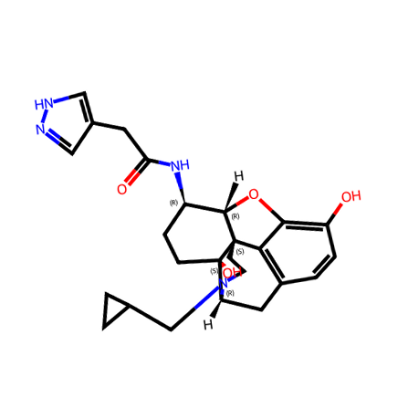 O=C(Cc1cn[nH]c1)N[C@@H]1CC[C@@]2(O)[C@H]3Cc4ccc(O)c5c4[C@@]2(CCN3CC2CC2)[C@H]1O5